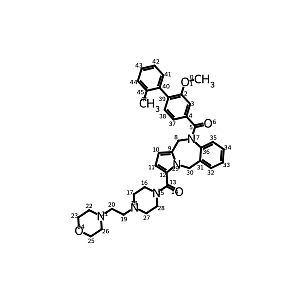 COc1cc(C(=O)N2Cc3ccc(C(=O)N4CCN(CCN5CCOCC5)CC4)n3Cc3ccccc32)ccc1-c1ccccc1C